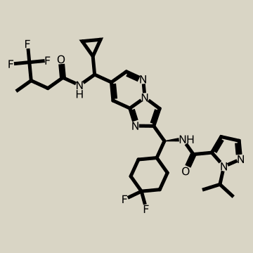 CC(C)n1nccc1C(=O)N[C@H](c1cn2ncc(C(NC(=O)CC(C)C(F)(F)F)C3CC3)cc2n1)C1CCC(F)(F)CC1